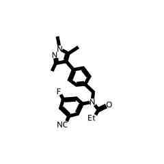 CCC(=O)N(Cc1ccc(-c2c(C)nn(C)c2C)cc1)c1cc(F)cc(C#N)c1